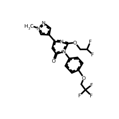 Cn1cc(-c2cc(=O)n(-c3ccc(OCC(F)(F)F)cc3)c(OCC(F)F)n2)cn1